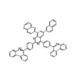 c1ccc2cc(-c3cc(-c4ccc5ccccc5c4)c4nc(-c5ccc(-c6nc7ccccc7c7ccccc67)cc5)nc(-c5ccc(-c6nc7ccccc7c7ccccc67)cc5)c4c3)ccc2c1